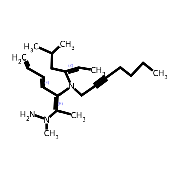 C=C/C=C/C(=C(/C)N(C)N)N(CC#CCCCC)/C(=C\C)CC(C)C